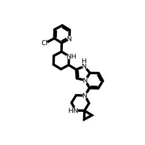 Clc1cccnc1C1CCCC(C2=CN3C(N4CCNC5(CC5)C4)=CC=CC3N2)N1